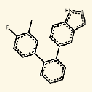 Cc1cc(-c2ncccc2-c2ccc3[nH]ncc3c2)ccc1F